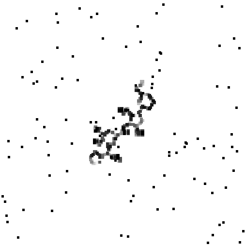 C=C1/C(=C/NC(/C=C(\C)Br)=C/N=C(\C)N2CCCC2)C(=N)CN1c1cncc(SF)c1